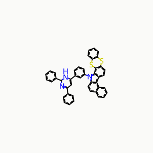 C1=C(c2cccc(-n3c4ccc5ccccc5c4c4ccc5c(c43)Sc3ccccc3S5)c2)NC(c2ccccc2)N=C1c1ccccc1